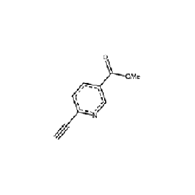 C#Cc1ccc(C(=O)OC)cn1